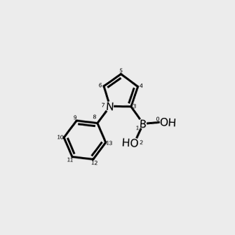 OB(O)c1cccn1-c1ccccc1